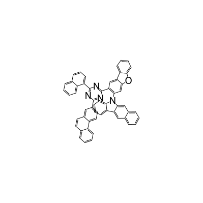 c1ccc2cc3c(cc2c1)c1ccccc1n3-c1cc2oc3ccccc3c2cc1-c1nc(-c2ccc3c(ccc4ccccc43)c2)nc(-c2cccc3ccccc23)n1